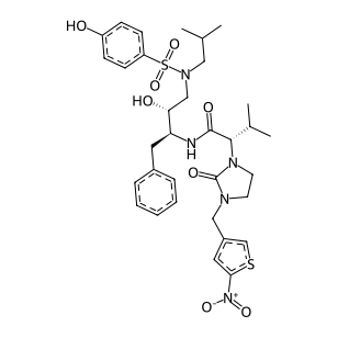 CC(C)CN(C[C@@H](O)[C@H](Cc1ccccc1)NC(=O)[C@H](C(C)C)N1CCN(Cc2csc([N+](=O)[O-])c2)C1=O)S(=O)(=O)c1ccc(O)cc1